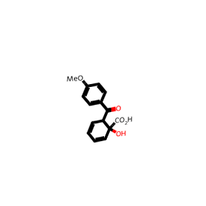 COc1ccc(C(=O)C2C=CC=CC2(O)C(=O)O)cc1